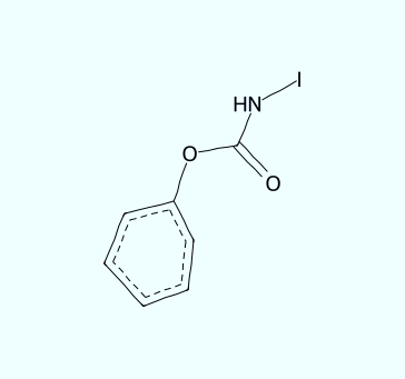 O=C(NI)Oc1ccccc1